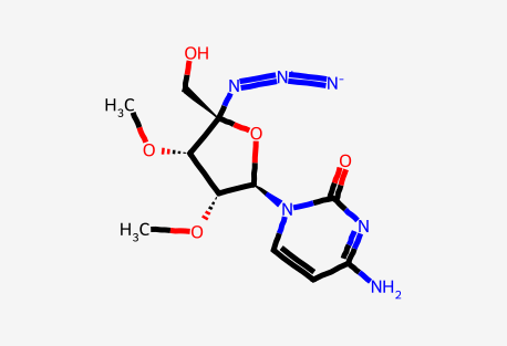 CO[C@H]1[C@H](n2ccc(N)nc2=O)O[C@@](CO)(N=[N+]=[N-])[C@H]1OC